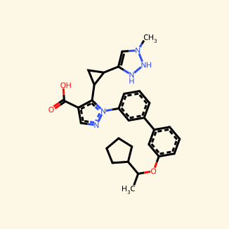 CC(Oc1cccc(-c2cccc(-n3ncc(C(=O)O)c3C3CC3C3=CN(C)NN3)c2)c1)C1CCCC1